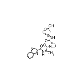 C[C@H](NC(=O)c1cnc2ccccc2n1)C(=O)N1CCC[C@H]1C(=O)N[C@H](C=O)CC(=O)O